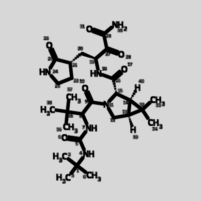 CC(C)(C)NC(=O)NC(C(=O)N1C[C@H]2[C@@H]([C@H]1C(=O)N[C@@H](C[C@@H]1CCNC1=O)C(=O)C(N)=O)C2(C)C)C(C)(C)C